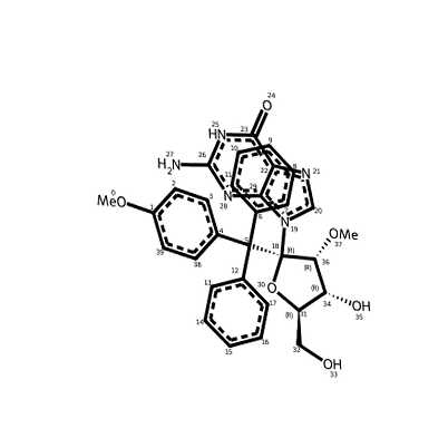 COc1ccc(C(c2ccccc2)(c2ccccc2)[C@@]2(n3cnc4c(=O)[nH]c(N)nc43)O[C@H](CO)[C@@H](O)[C@H]2OC)cc1